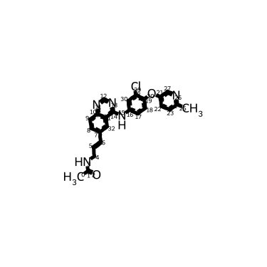 CC(=O)NC/C=C/c1ccc2ncnc(Nc3ccc(Oc4ccc(C)nc4)c(Cl)c3)c2c1